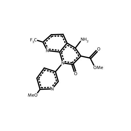 COC(=O)c1c(N)c2ccc(C(F)(F)F)nc2n(-c2ccc(OC)nc2)c1=O